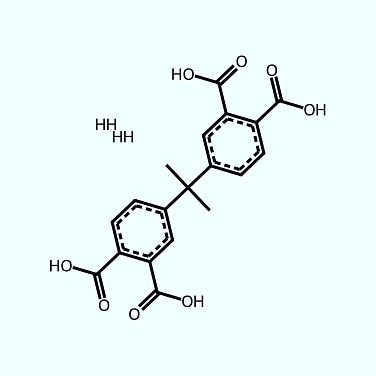 CC(C)(c1ccc(C(=O)O)c(C(=O)O)c1)c1ccc(C(=O)O)c(C(=O)O)c1.[HH].[HH]